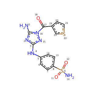 Nc1nc(Nc2ccc(S(N)(=O)=O)cc2)nn1C(=O)c1ccsc1